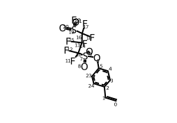 C=Cc1ccc(OS(=O)(=O)C(F)(F)C(F)(F)C(F)(F)S(=O)(=O)F)cc1